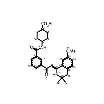 CCOC(=O)N1CCC(NC(=O)c2cccc(C(=O)C=C3NC(C)(C)Cc4ccc(OC)cc43)c2)CC1